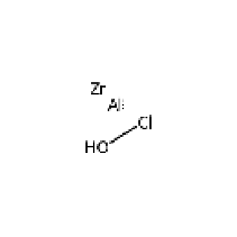 OCl.[Al].[Zr]